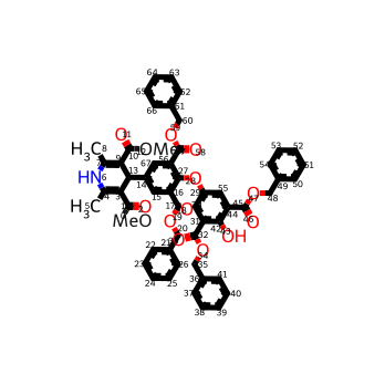 COC(=O)C1=C(C)NC(C)=C(C(=O)OC)C1c1cc(C(=O)OCc2ccccc2)c(Oc2cc(C(=O)OCc3ccccc3)c(O)c(C(=O)OCc3ccccc3)c2)c(C(=O)OCc2ccccc2)c1